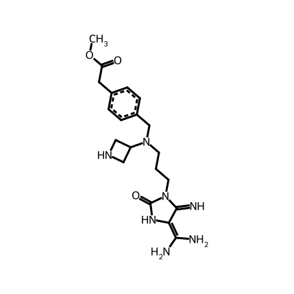 COC(=O)Cc1ccc(CN(CCCN2C(=N)C(=C(N)N)NC2=O)C2CNC2)cc1